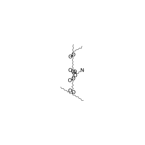 CCCCCCCCC(CCCCCCCC)OC(=O)CCCCCC(=O)OCC(COC(=O)CCCCCCCC(=O)OCC(CCCC)CCCCCC)OC(=O)CCCN(C)C